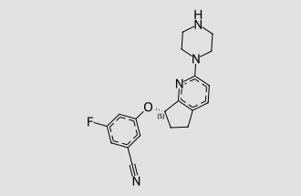 N#Cc1cc(F)cc(O[C@H]2CCc3ccc(N4CCNCC4)nc32)c1